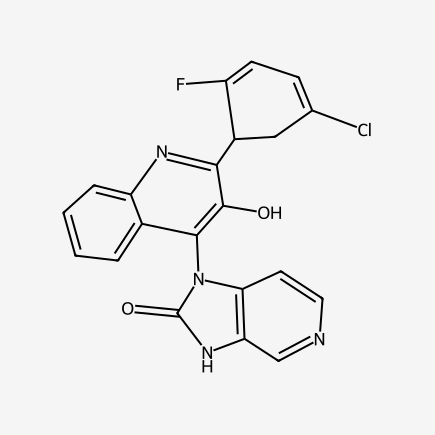 O=c1[nH]c2cnccc2n1-c1c(O)c(C2CC(Cl)=CC=C2F)nc2ccccc12